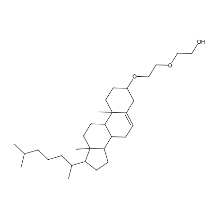 CC(C)CCCC(C)C1CCC2C3CC=C4CC(OCCOCCO)CCC4(C)C3CCC12C